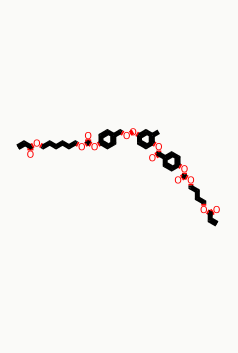 C=CC(=O)OCCCCCCOC(=O)Oc1ccc(COOc2ccc(OC(=O)c3ccc(OC(=O)OCCCCOC(=O)C=C)cc3)c(C)c2)cc1